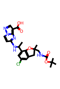 CC(Nc1ccn2ncc(C(=O)O)c2n1)c1cc(Cl)cc2c1OC(C)(CNC(=O)OC(C)(C)C)C2